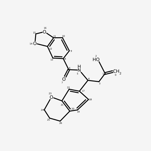 C=C(O)CC(NC(=O)c1ccc2c(c1)OCO2)c1ccc2c(c1)OCCC2